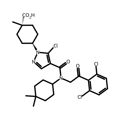 CC1(C)CCC(N(CC(=O)c2c(Cl)cccc2Cl)C(=O)c2cnn([C@H]3CC[C@](C)(C(=O)O)CC3)c2Cl)CC1